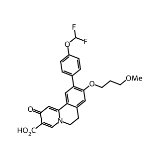 COCCCOc1cc2c(cc1-c1ccc(OC(F)F)cc1)-c1cc(=O)c(C(=O)O)cn1CC2